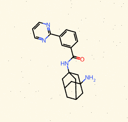 NC12CC3CC(C1)CC(NC(=O)c1cccc(-c4ncccn4)c1)(C3)C2